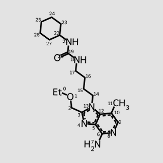 CCOCc1nc2c(N)ncc(C)c2n1CCCCNC(=O)NC1CCCCC1